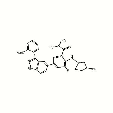 COc1ccccc1-c1n[nH]c2ncc(-c3cc(F)c(NC4CC[C@H](O)C4)c(C(=O)N(C)C)c3)cc12